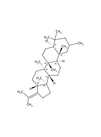 CC(C)=C1CC[C@]2(C)[C@H]3CC[C@@H]4[C@@]5(C)CC(C)CC(C)(C)[C@@H]5CC[C@@]4(C)[C@]3(C)CC[C@@H]12